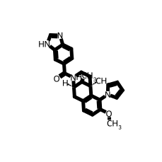 COc1ccc2c(c1-n1cccc1)[C@]1(C)CCN(C(=O)c3ccc4nc[nH]c4c3)[C@H](C2)[C@H]1C